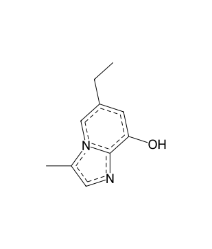 CCc1cc(O)c2ncc(C)n2c1